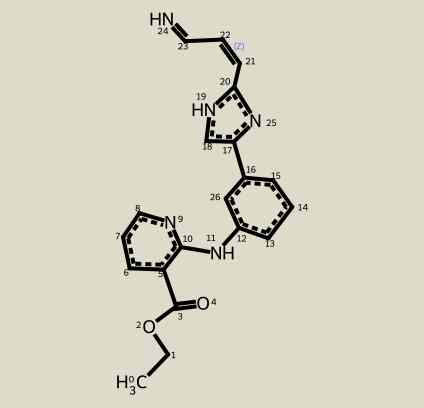 CCOC(=O)c1cccnc1Nc1cccc(-c2c[nH]c(/C=C\C=N)n2)c1